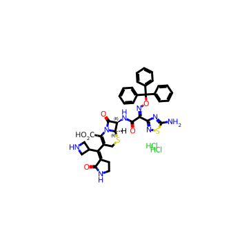 Cl.Cl.Nc1nc(C(=NOC(c2ccccc2)(c2ccccc2)c2ccccc2)C(=O)N[C@@H]2C(=O)N3C(C(=O)O)=C(C(=C4CCNC4=O)C4CNC4)CS[C@H]23)ns1